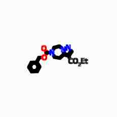 CCOC(=O)c1cnn2c1CCN(C(=O)OCc1ccccc1)CC2